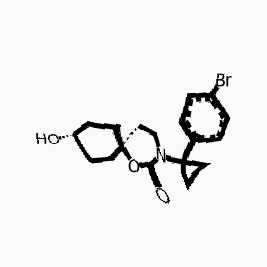 O=C1O[C@]2(CCN1C1(c3ccc(Br)cc3)CC1)CC[C@@H](O)CC2